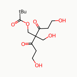 CC(C)(C)C(=O)OCC(CO)(C(=O)CCO)C(=O)CCO